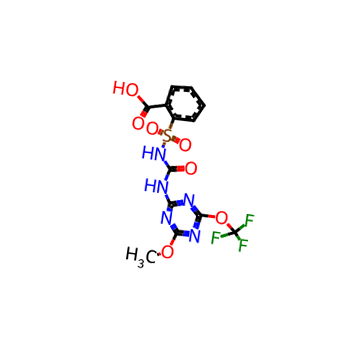 COc1nc(NC(=O)NS(=O)(=O)c2ccccc2C(=O)O)nc(OC(F)(F)F)n1